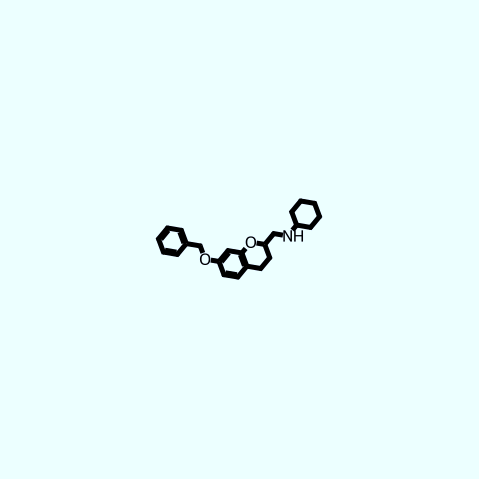 c1ccc(COc2ccc3c(c2)OC(CNC2CCCCC2)CC3)cc1